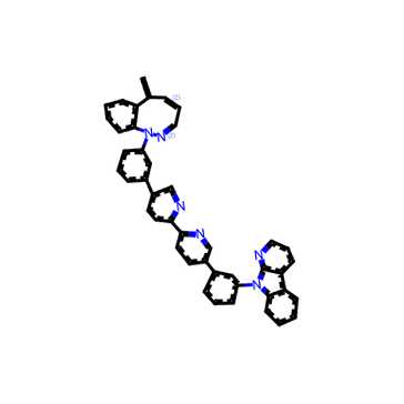 C=C1/C=C\C=N/N(c2cccc(-c3ccc(-c4ccc(-c5cccc(-n6c7ccccc7c7cccnc76)c5)cn4)nc3)c2)c2ccccc21